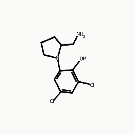 NCC1CCCN1c1cc(Cl)cc(Cl)c1O